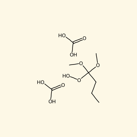 CCCC(OC)(OC)OO.O=C(O)O.O=C(O)O